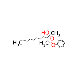 CCCCCCCCCC(C)(O)OC(C)Oc1ccccc1